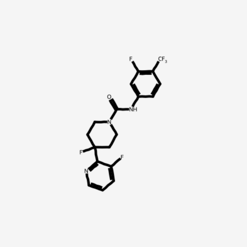 O=C(Nc1ccc(C(F)(F)F)c(F)c1)N1CCC(F)(c2ncccc2F)CC1